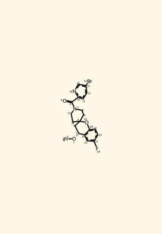 CC(C)O[C@@H]1CC2(CCN(C(=O)c3ccc(Br)cn3)CC2)Oc2ccc(F)cc21